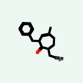 CC1=CC(Cc2ccccc2)C(=O)C(CC(=O)O)CC1